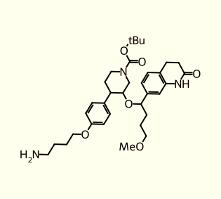 COCCCC(OC1CN(C(=O)OC(C)(C)C)CCC1c1ccc(OCCCCN)cc1)c1ccc2c(c1)NC(=O)CC2